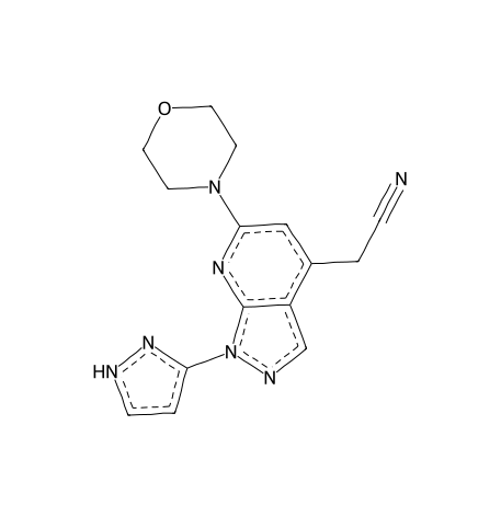 N#CCc1cc(N2CCOCC2)nc2c1cnn2-c1cc[nH]n1